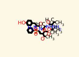 CC(=O)C(/C=C(\N(C(=O)C(N)Cc1ccc(O)cc1)C(=O)[C@H](C)NC(=O)C(N)C(C)C)S(=O)(=O)c1ccccc1)CC(=O)OC(C)(C)C